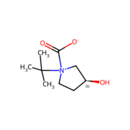 CC(C)(C)[N+]1(C(=O)[O-])CC[C@H](O)C1